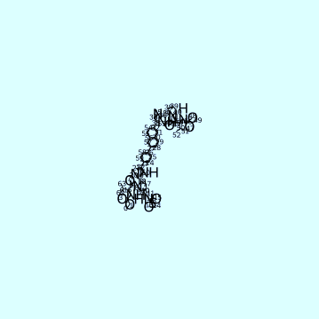 COC(=O)NC(C(=O)N1C[C@@H](CNS(C)(=O)=O)C[C@H]1c1ncc(-c2ccc(-c3ccc4cc(-c5cnc([C@@H]6CCCN6C(=O)[C@@H](NC(=O)OC)C(C)C)[nH]5)ccc4c3)cc2)[nH]1)C(C)C